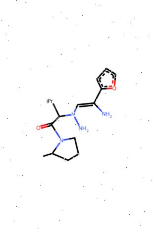 CC(C)C(C(=O)N1CCCC1C)N(N)/C=C(\N)c1ccco1